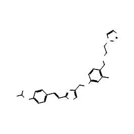 Cc1cc(OCc2coc(C=Cc3ccc(OC(F)F)cc3)n2)ccc1COCCn1ccnn1